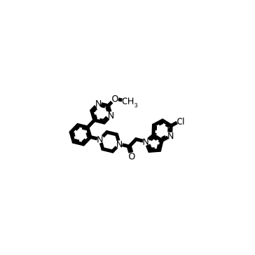 COc1ncc(-c2ccccc2N2CCN(C(=O)Cn3ccc4nc(Cl)ccc43)CC2)cn1